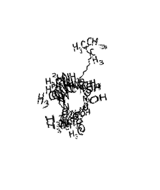 [2H]C(C)(C[C@@H](OC)[C@H]1C(=O)N2CC[C@H](OC)[C@H]2C(=O)N(C)[C@H](NC([2H])(C)C([2H])([2H])N)[C@H](O)C[C@H](NC(=O)CCCCCCCCC(C)CC(C)CC)C(=O)N(C)[C@@H]([C@@H](C)O)C(=O)N2C[C@H](O)CC2C(=O)N[C@@H]([C@H](O)[C@@H](OC)c2ccc(OC)cc2)C(=O)N1C)N(C)C